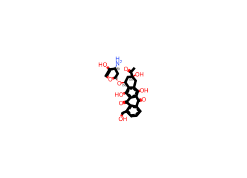 CC(=O)[C@]1(O)Cc2c(O)c3c(c(O)c2[C@@H](O[C@H]2C[C@@H](N)C(O)=CO2)C1)C(=O)c1c(CO)cccc1C3=O